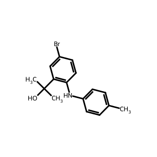 Cc1ccc(Nc2ccc(Br)cc2C(C)(C)O)cc1